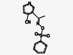 C/C(=N\OS(=O)(=O)c1ccccc1)c1cnccc1C#N